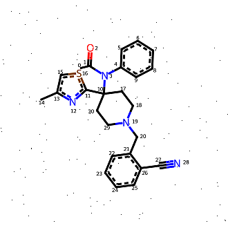 CC(=O)N(c1ccccc1)C1(c2nc(C)cs2)CCN(Cc2ccccc2C#N)CC1